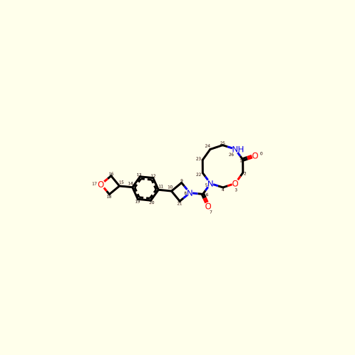 O=C1COCN(C(=O)N2CC(c3ccc(C4COC4)cc3)C2)CCCCN1